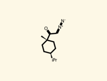 CC(C)[C@H]1CC[C@](C)(C(=O)C=[N+]=[N-])CC1